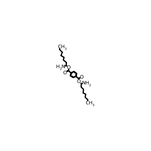 CCCCCCCC(N)OC(=O)c1ccc(C(=O)OC(N)CCCCCCC)cc1